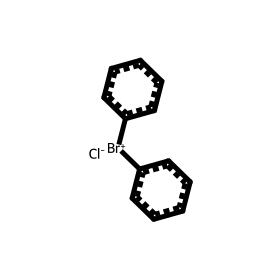 [Cl-].c1ccc([Br+]c2ccccc2)cc1